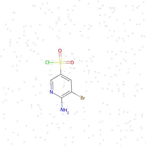 Nc1ncc(S(=O)(=O)Cl)cc1Br